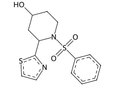 O=S(=O)(c1ccccc1)N1CCC(O)CC1c1nccs1